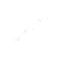 COc1cc(/C=C/C(=O)Oc2ccc(C(=O)OCC3OCOC4C(COC(=O)c5ccc(OC(C)=O)cc5)OCOC34)cc2)ccc1O